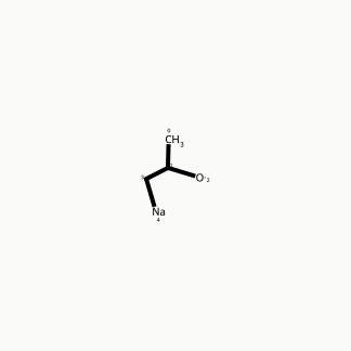 CC([O])[CH2][Na]